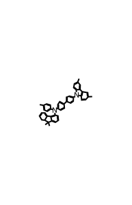 Cc1ccc(N(c2ccc(-c3ccc(-n4c5ccc(C)cc5c5cc(C)ccc54)cc3)cc2)c2cccc3c2C2=CC=CCC2C3(C)C)cc1